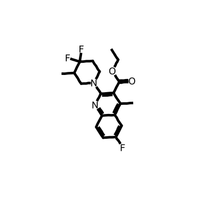 CCOC(=O)c1c(N2CCC(F)(F)C(C)C2)nc2ccc(F)cc2c1C